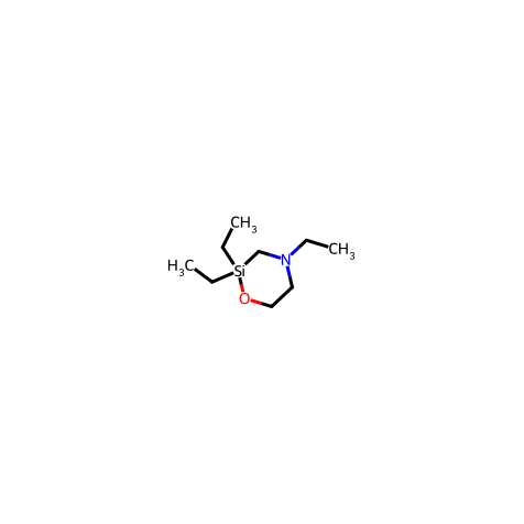 CCN1CCO[Si](CC)(CC)C1